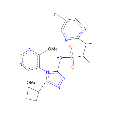 COc1ncnc(OC)c1-n1c(NS(=O)(=O)C(C)C(C)c2ncc(Cl)cn2)nnc1C1CCC1